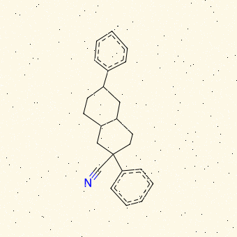 N#CC1(c2ccccc2)CCC2CC(c3ccccc3)CCC2C1